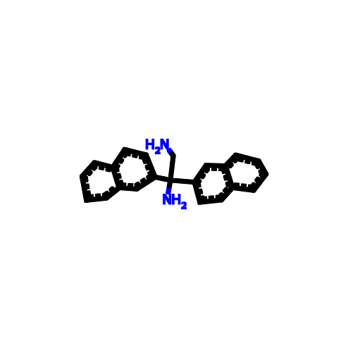 NCC(N)(c1ccc2ccccc2c1)c1ccc2ccccc2c1